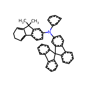 CC1(C)C2=CCCC=C2c2ccc(N(c3ccccc3)c3ccc4c(c3)C3(c5ccccc5-c5ccccc53)c3ccccc3-4)cc21